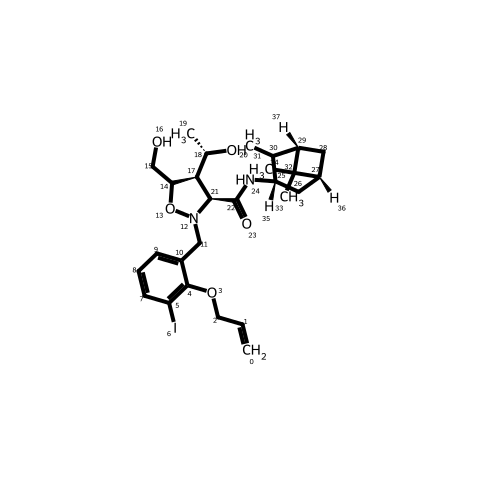 C=CCOc1c(I)cccc1CN1OC(CO)[C@@H]([C@H](C)O)[C@H]1C(=O)N[C@H]1C[C@H]2C[C@@H](C1C)C2(C)C